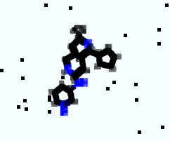 N#Cc1cc2cnc(N[C@H]3CCCNC3)cc2c(C2CCCC2)n1